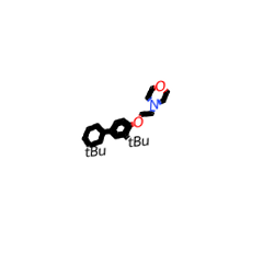 CC(C)(C)c1cc(C2CCCC(C(C)(C)C)C2)ccc1OCCN1CCOCC1